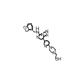 OCCN1CCN(c2ccc(-c3cnc(NCc4cccc5c4CCO5)n4cnnc34)cn2)CC1